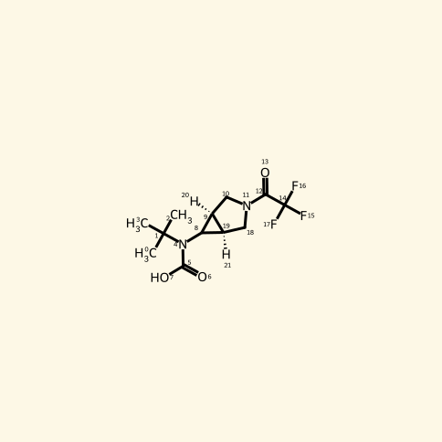 CC(C)(C)N(C(=O)O)C1[C@H]2CN(C(=O)C(F)(F)F)C[C@@H]12